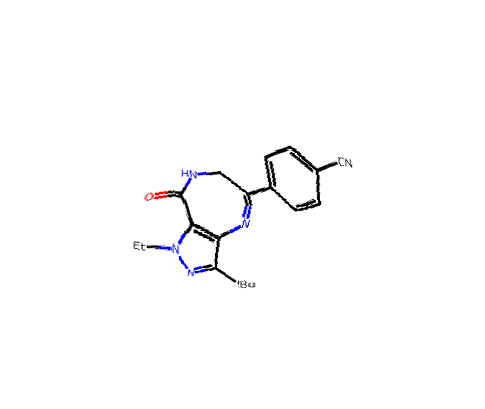 CCn1nc(C(C)(C)C)c2c1C(=O)NCC(c1ccc(C#N)cc1)=N2